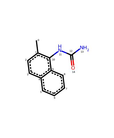 Cc1ccc2ccccc2c1NC(N)=O